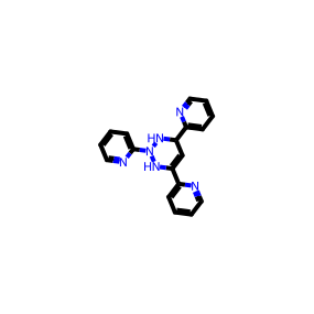 C1=C(c2ccccn2)NN(c2ccccn2)NC1c1ccccn1